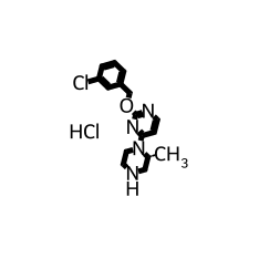 C[C@@H]1CNCCN1c1ccnc(OCc2cccc(Cl)c2)n1.Cl